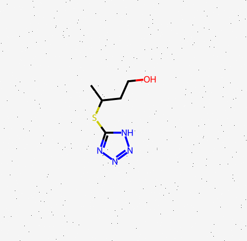 C[C](CCO)Sc1nnn[nH]1